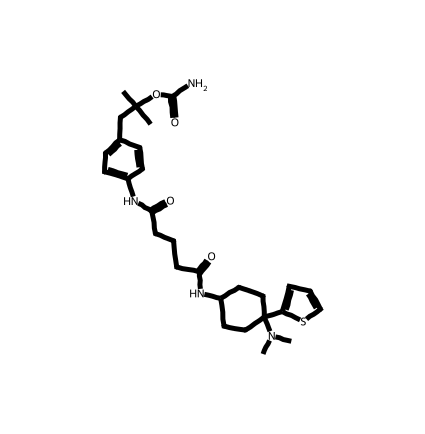 CN(C)C1(c2cccs2)CCC(NC(=O)CCCC(=O)Nc2ccc(CC(C)(C)OC(N)=O)cc2)CC1